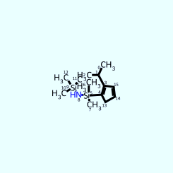 CC(C)C1=C([Si](C)(C)N[Si](C)(C)C)CC=C1